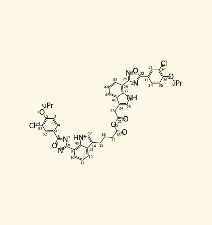 CC(C)Oc1ccc(-c2nc(-c3cccc4c(CCCC(=O)OC(=O)Cc5c[nH]c6c(-c7noc(-c8ccc(OC(C)C)c(Cl)c8)n7)cccc56)c[nH]c34)no2)cc1Cl